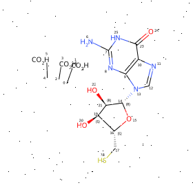 CC(=O)O.CC(=O)O.CC(=O)O.Nc1nc2c(ncn2[C@@H]2O[C@H](CS)[C@@H](O)[C@H]2O)c(=O)[nH]1